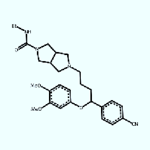 CCNC(=O)N1CC2CN(CCCC(Oc3ccc(OC)c(OC)c3)c3ccc(C#N)cc3)CC2C1